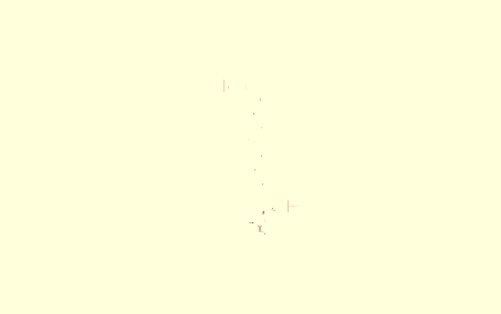 CCCCCCCCCCCCCCCC1(O)CO1